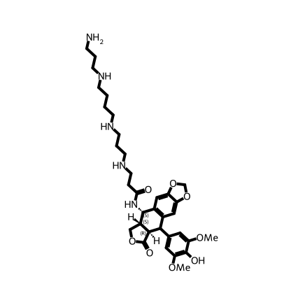 COc1cc(C2c3cc4c(cc3[C@@H](NC(=O)CCNCCCNCCCCNCCCN)[C@H]3COC(=O)[C@H]23)OCO4)cc(OC)c1O